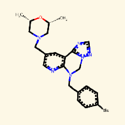 C[C@@H]1CN(Cc2cnc3c(c2)-c2ncnn2CN3Cc2ccc(C(C)(C)C)cc2)C[C@H](C)O1